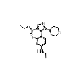 CCNc1ccc(-c2c(C(=O)OCC)cnn2C2CCOCC2)c(F)n1